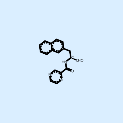 O=C[C@H](Cc1ccc2ccccc2c1)NC(=O)c1cnccn1